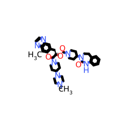 Cc1cc(C[C@@H](OC(=O)N2CCC(N3CCc4ccccc4NC3=O)CC2)C(=O)N2CCC(N3CCN(C)CC3)CC2)cc2nccnc12